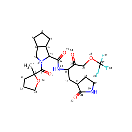 CC1(C(=O)N2CC3CCCC3C2C(=O)NC(CC2CCNC2=O)C(=O)COC(F)(F)F)CCCO1